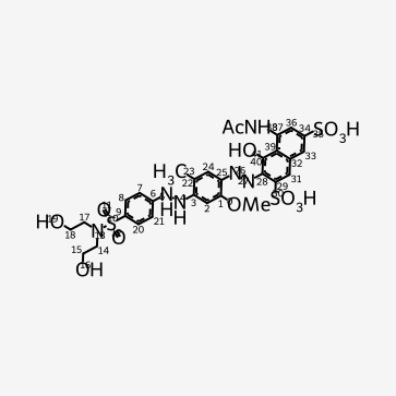 COc1cc(NNc2ccc(S(=O)(=O)N(CCO)CCO)cc2)c(C)cc1/N=N/c1c(S(=O)(=O)O)cc2cc(S(=O)(=O)O)cc(NC(C)=O)c2c1O